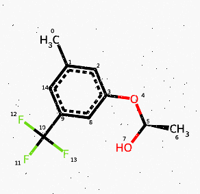 Cc1cc(O[C@@H](C)O)cc(C(F)(F)F)c1